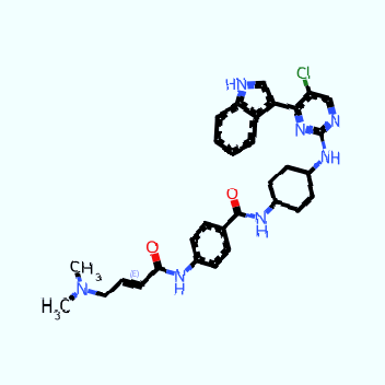 CN(C)C/C=C/C(=O)Nc1ccc(C(=O)NC2CCC(Nc3ncc(Cl)c(-c4c[nH]c5ccccc45)n3)CC2)cc1